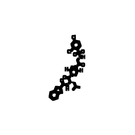 CC(C)C[C@H](NC(=O)c1cc2ccccc2s1)C(=O)N1C[C@@H]2C[C@H]1CN2C(=O)CNS(=O)(=O)c1ccc(Cl)cc1Cl